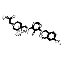 CCN(Cc1ccc(C(F)(F)F)cc1F)c1ncnc(NC[C@@]2(O)CCN(CC(N)=O)C[C@H]2O)c1F